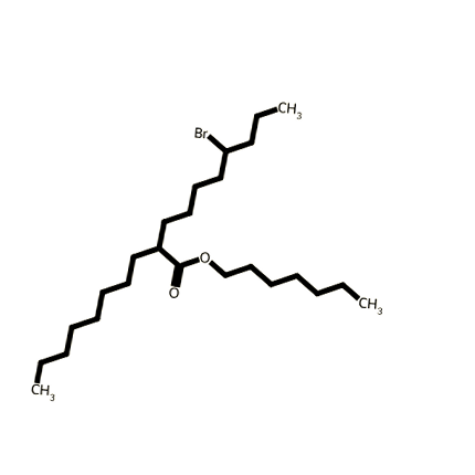 CCCCCCCCC(CCCCC(Br)CCC)C(=O)OCCCCCCC